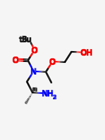 CC(OCCO)N(C[C@@H](C)N)C(=O)OC(C)(C)C